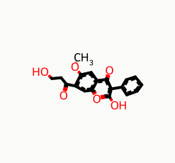 COc1cc2c(=O)c(-c3ccccc3)c(O)oc2cc1C(=O)CCO